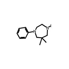 CC1(C)CN(I)CCN(c2ccccc2)C1